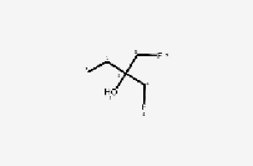 CCC(O)(CF)CF